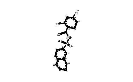 O=C(NS(=O)(=O)c1ccc2ccccc2c1)c1ccc(Cl)cc1Cl